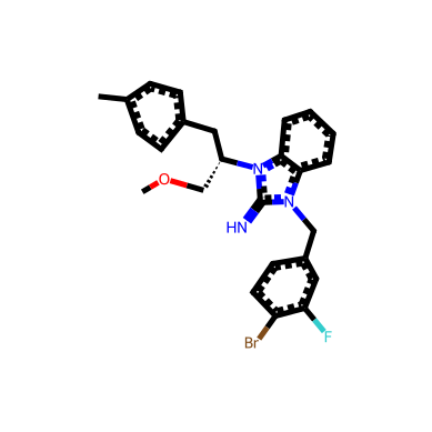 COC[C@H](Cc1ccc(C)cc1)n1c(=N)n(Cc2ccc(Br)c(F)c2)c2ccccc21